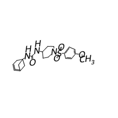 COc1ccc(S(=O)(=O)N2CCC(NC(=O)NC34CC=C=C(C3)C4)CC2)cc1